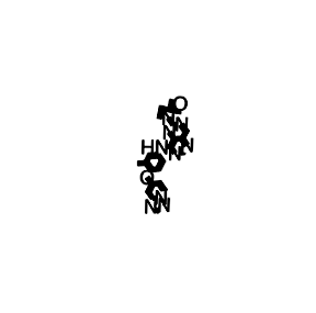 Cc1cc(Nc2ncnc3cnc(N4CCC45COC5)nc23)ccc1Oc1ccn2ncnc2c1